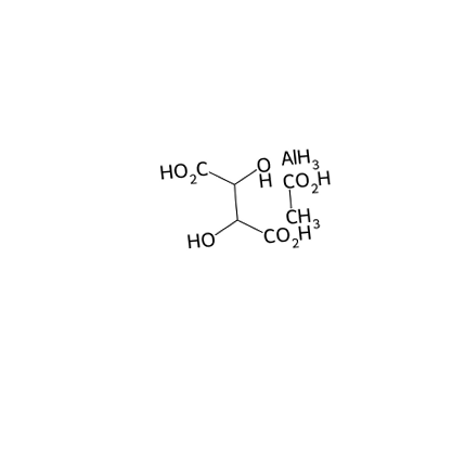 CC(=O)O.O=C(O)C(O)C(O)C(=O)O.[AlH3]